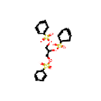 O=S(=O)(OCC(COS(=O)(=O)c1ccccc1)OS(=O)(=O)c1ccccc1)c1ccccc1